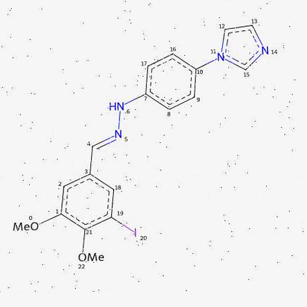 COc1cc(C=NNc2ccc(-n3ccnc3)cc2)cc(I)c1OC